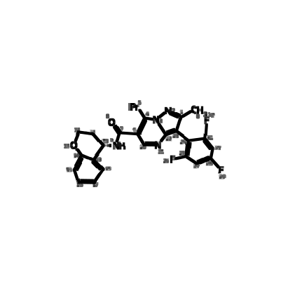 Cc1nn2c(C(C)C)c(C(=O)N[C@H]3CCOc4ccccc43)cnc2c1-c1c(F)cc(F)cc1F